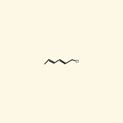 CC=CC=C[CH]Cl